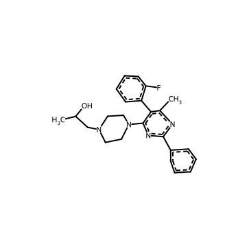 Cc1nc(-c2ccccc2)nc(N2CCN(CC(C)O)CC2)c1-c1ccccc1F